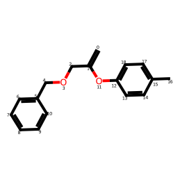 C=C(COCc1ccccc1)Oc1ccc(C)cc1